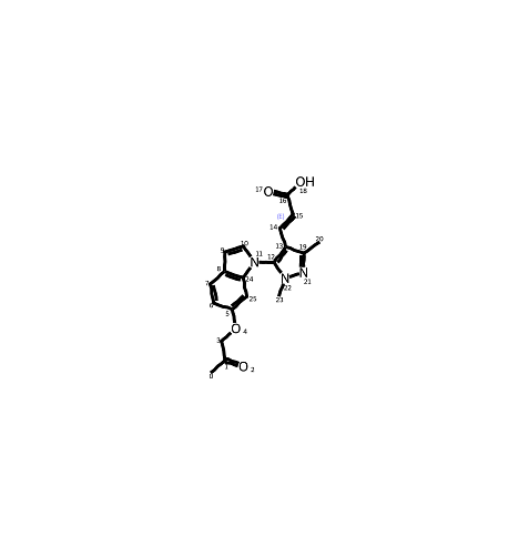 CC(=O)COc1ccc2ccn(-c3c(/C=C/C(=O)O)c(C)nn3C)c2c1